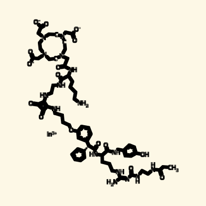 CCC(=O)NCCNC(=O)/N=C(/N)NCCCC(NC(=O)[C@H](c1ccccc1)c1cccc(OCCCCNc2c(NCCNC(=O)C(CCCCN)NC(=O)CN3CCN(CC(=O)[O-])CCN(CC(=O)[O-])CCN(CC(=O)[O-])CC3)c(=O)c2=O)c1)C(=O)NCc1ccc(O)cc1.[In+3]